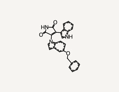 O=C1NC(=O)C(n2ccc3cc(OCc4ccccc4)ccc32)=C1c1c[nH]c2ccccc12